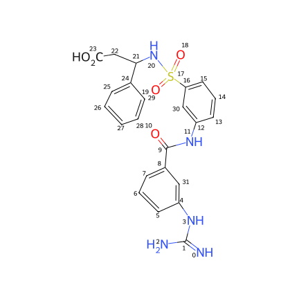 N=C(N)Nc1cccc(C(=O)Nc2cccc(S(=O)(=O)NC(CC(=O)O)c3ccccc3)c2)c1